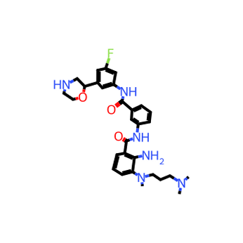 CN(C)CCCN(C)c1cccc(C(=O)Nc2cccc(C(=O)Nc3cc(F)cc(C4CNCCO4)c3)c2)c1N